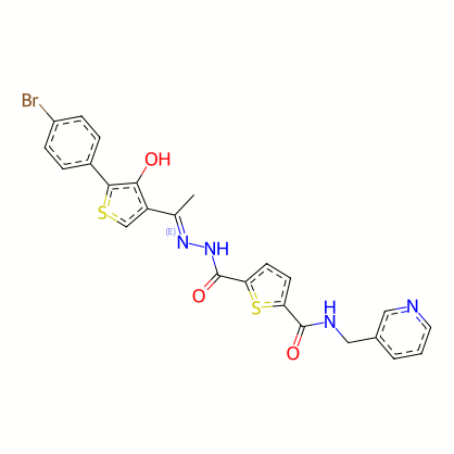 C/C(=N\NC(=O)c1ccc(C(=O)NCc2cccnc2)s1)c1csc(-c2ccc(Br)cc2)c1O